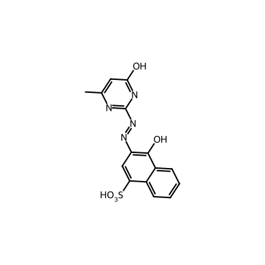 Cc1cc(O)nc(N=Nc2cc(S(=O)(=O)O)c3ccccc3c2O)n1